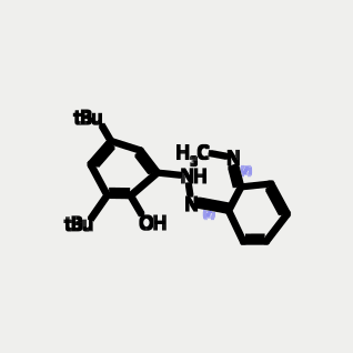 C/N=C1/C=CC=C/C1=N/Nc1cc(C(C)(C)C)cc(C(C)(C)C)c1O